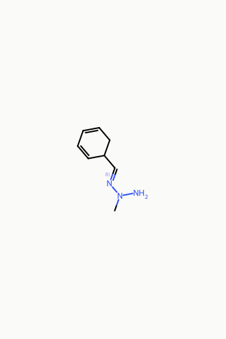 CN(N)/N=C/C1C=CC=CC1